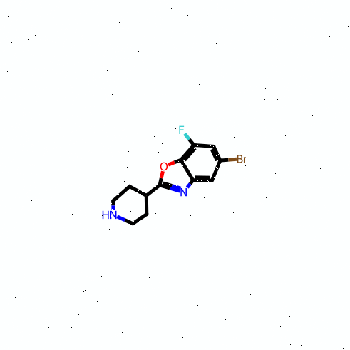 Fc1cc(Br)cc2nc(C3CCNCC3)oc12